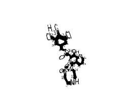 Cc1c(Cl)cc(CNC(=O)c2nc(N3CCNCCS3(=O)=O)c3cccnc3c2O)cc1Cl